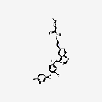 CCOCC(=O)NC/C=C/c1ccc2ncnc(Nc3ccc(Oc4ccc(C)nc4)c(Cl)c3)c2c1